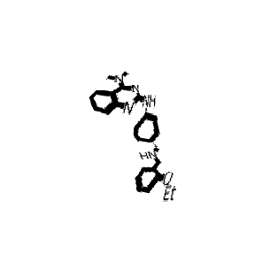 CCOc1ccccc1CNC[C@H]1CC[C@@H](Nc2nc(N(C)C)c3ccccc3n2)CC1